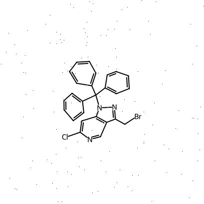 Clc1cc2c(cn1)c(CBr)nn2C(c1ccccc1)(c1ccccc1)c1ccccc1